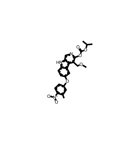 COCc1c(OC(=O)OC(C)C)ncc2[nH]c3ccc(Oc4ccc([N+](=O)[O-])c(C)c4)cc3c12